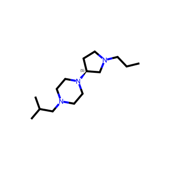 CCCN1CC[C@H](N2CCN(CC(C)C)CC2)C1